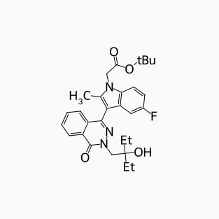 CCC(O)(CC)Cn1nc(-c2c(C)n(CC(=O)OC(C)(C)C)c3ccc(F)cc23)c2ccccc2c1=O